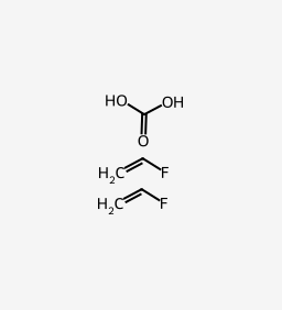 C=CF.C=CF.O=C(O)O